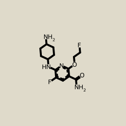 NC(=O)c1cc(F)c(NC2CCC(N)CC2)nc1OCCF